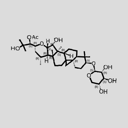 CC(=O)O[C@@H]([C@H]1C[C@@H](C)[C@H]2[C@H](O1)[C@H](O)[C@@]1(C)[C@@H]3CCC4C(C)(C)[C@@H](O[C@@H]5OC[C@@H](O)[C@H](O)[C@H]5O)CC[C@@]45CC35CC[C@]21C)C(C)(C)O